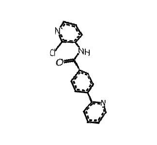 O=C(Nc1cccnc1Cl)c1ccc(-c2ccccn2)cc1